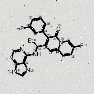 CC[C@H](Nc1ncnc2[nH]cnc12)c1cc2ccc(F)cn2c(=O)c1-c1cccc(F)c1